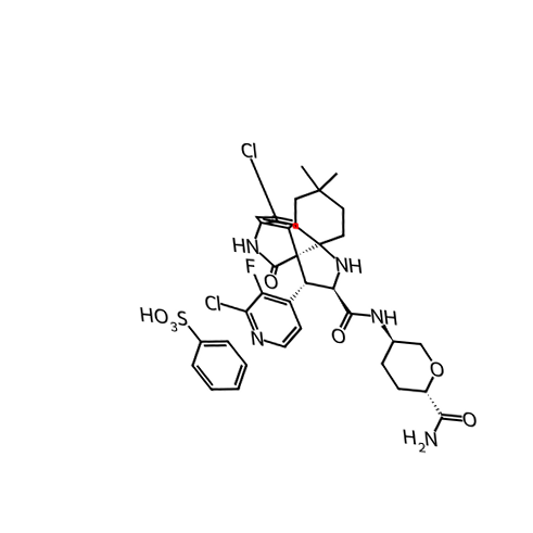 CC1(C)CCC2(CC1)N[C@@H](C(=O)N[C@@H]1CC[C@@H](C(N)=O)OC1)[C@H](c1ccnc(Cl)c1F)[C@]21C(=O)Nc2cc(Cl)ccc21.O=S(=O)(O)c1ccccc1